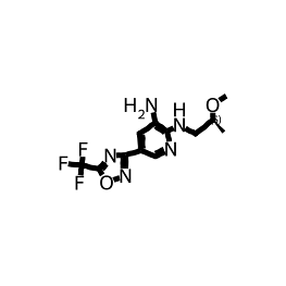 CO[C@@H](C)CNc1ncc(-c2noc(C(F)(F)F)n2)cc1N